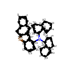 c1ccc2cc3c(cc2c1)sc1cccc(N(c2cccc4ccccc24)c2cccc4ccccc24)c13